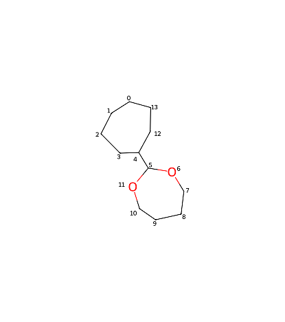 C1CCCC(C2OCCCCO2)CC1